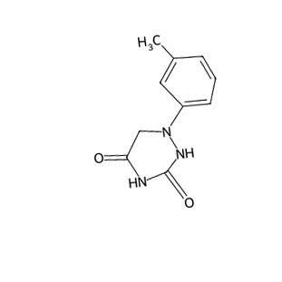 Cc1cccc(N2CC(=O)NC(=O)N2)c1